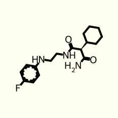 NC(=O)[C@@H](C(=O)NCCNc1ccc(F)cc1)C1CCCCC1